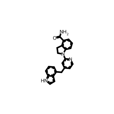 NC(=O)c1cccc2c1CCN2c1cc(Cc2cccc3[nH]ccc23)ccn1